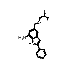 Nc1cc(COCC(F)F)cc2cc(-c3ccccc3)[nH]c12